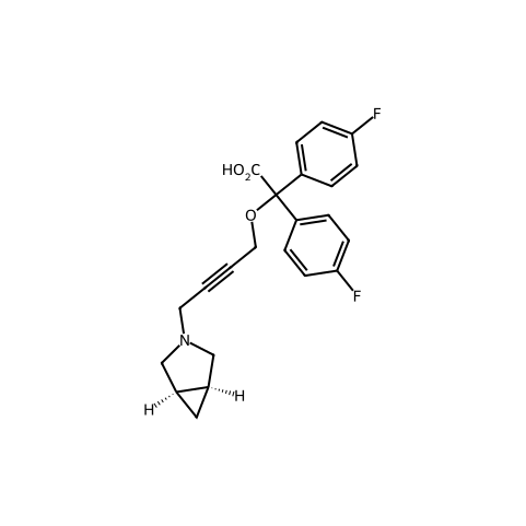 O=C(O)C(OCC#CCN1C[C@H]2C[C@H]2C1)(c1ccc(F)cc1)c1ccc(F)cc1